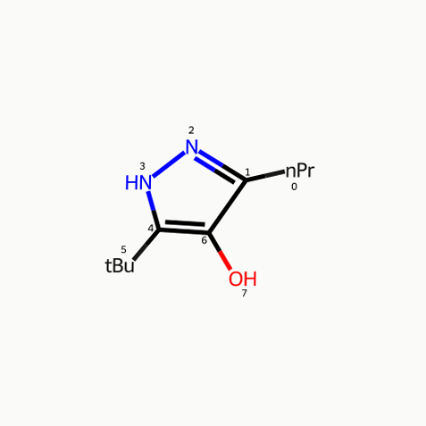 CCCc1n[nH]c(C(C)(C)C)c1O